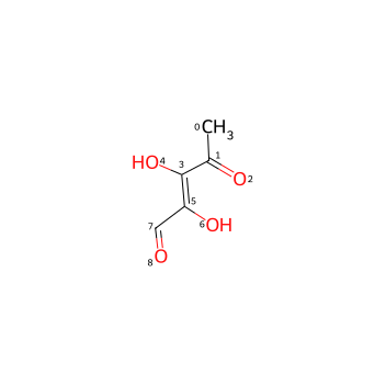 CC(=O)C(O)=C(O)C=O